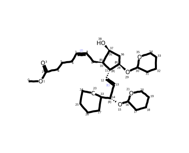 COC(=O)CCC/C=C\C[C@@H]1[C@@H](/C=C/[C@H](OC2CCCCO2)C2CCCCC2)[C@H](OC2CCCCO2)C[C@@H]1O